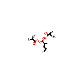 CCCCC(CC)C(=O)OOC(OOC(=O)C(CC)CCCC)C(C)CCC(C)C